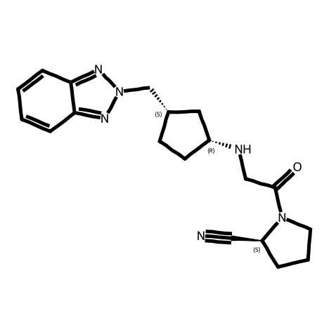 N#C[C@@H]1CCCN1C(=O)CN[C@@H]1CC[C@H](Cn2nc3ccccc3n2)C1